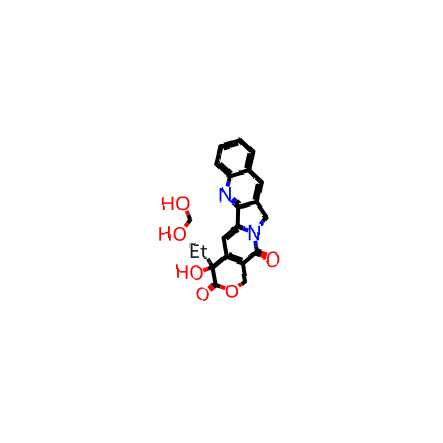 CCC1(O)C(=O)OCc2c1cc1n(c2=O)Cc2cc3ccccc3nc2-1.OCO